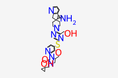 N[C@@H]1c2cccnc2CC12CCN(c1ncc(Sc3ccnc4c3OCC3CN(CC5(O)CC5)C(=O)N43)nc1CO)CC2